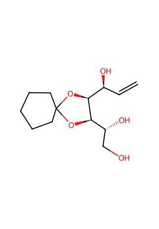 C=C[C@H](O)[C@@H]1OC2(CCCCC2)O[C@@H]1[C@H](O)CO